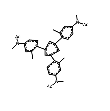 CC(=O)N(C)c1ccc(-c2cc(-c3ccc(N(C)C(C)=O)cc3C)cc(-c3ccc(N(C)C(C)=O)cc3C)c2)c(C)c1